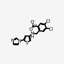 O=[N+]([O-])c1cc(Cl)c(Cl)cc1CNc1csc(-n2ccnc2)c1